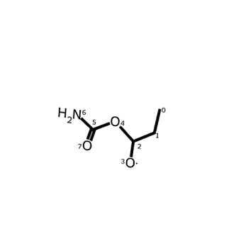 CCC([O])OC(N)=O